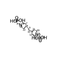 O=P(O)(O)C[n+]1ccc(C=Cc2cc[n+](CP(=O)(O)O)cc2)cc1